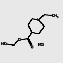 CCN1CCC(C(=O)OCO)CC1.Cl